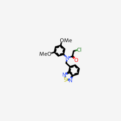 COc1cc(OC)cc(N(Cc2cccc3nsnc23)C(=O)CCl)c1